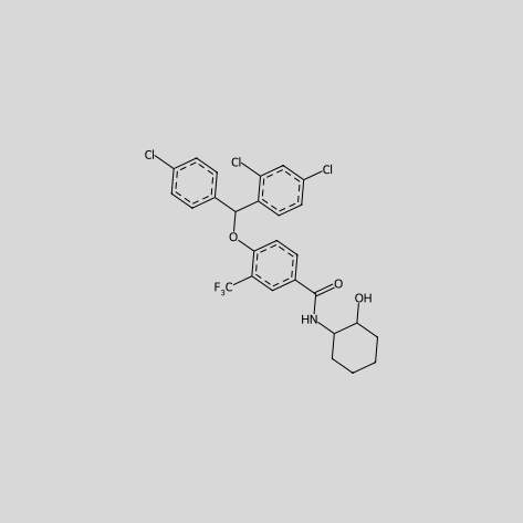 O=C(NC1CCCCC1O)c1ccc(OC(c2ccc(Cl)cc2)c2ccc(Cl)cc2Cl)c(C(F)(F)F)c1